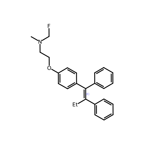 CC/C(=C(/c1ccccc1)c1ccc(OCCN(C)CF)cc1)c1ccccc1